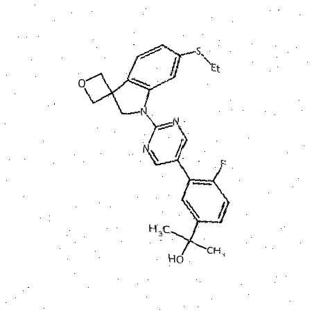 CCSc1ccc2c(c1)N(c1ncc(-c3cc(C(C)(C)O)ccc3F)cn1)CC21COC1